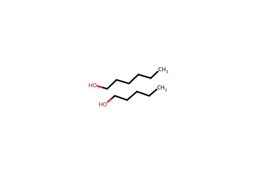 CCCCCCO.CCCCCO